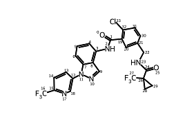 O=C(Nc1cccc2c1cnn2-c1ccc(C(F)(F)F)nc1)c1cc(CNC(=O)C2(C(F)(F)F)CC2)ccc1Cl